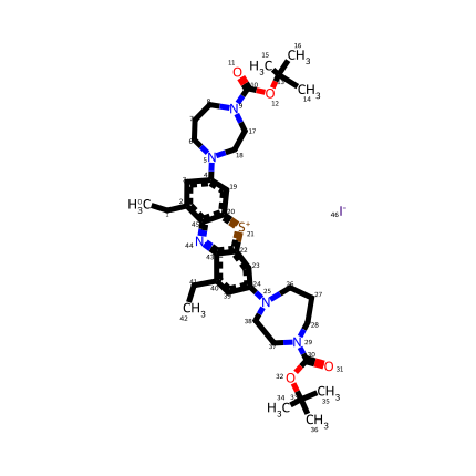 CCc1cc(N2CCCN(C(=O)OC(C)(C)C)CC2)cc2[s+]c3cc(N4CCCN(C(=O)OC(C)(C)C)CC4)cc(CC)c3nc12.[I-]